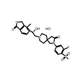 Cc1c([C@@H](O)CN2CCC3(CC2)CC(=O)N(c2ccc(S(C)(=O)=O)c(F)c2)C3)ccc2c1COC2=O.Cl